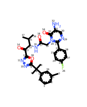 Cc1cccc(C(C)(C)c2nnc(C(=O)[C@@H](NC(=O)Cn3c(-c4ccc(F)cc4)ncc(N)c3=O)C(C)C)o2)c1